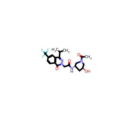 CC(=O)N1C[C@@H](O)C[C@H](NC(=O)Cn2nc(C(C)C)c3cc(C(F)(F)F)ccc3c2=O)C1